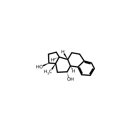 C[C@]12C[C@@H](O)[C@@H]3c4ccccc4CC[C@H]3[C@@H]1CC[C@@H]2O